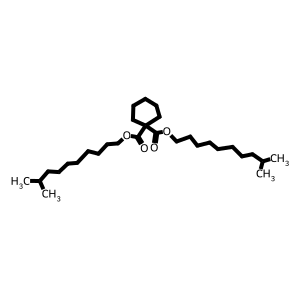 CC(C)CCCCCCCCOC(=O)C1(C(=O)OCCCCCCCCC(C)C)CCCCC1